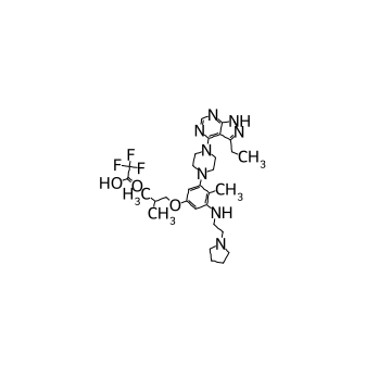 CCc1n[nH]c2ncnc(N3CCN(c4cc(OCC(C)C)cc(NCCN5CCCC5)c4C)CC3)c12.O=C(O)C(F)(F)F